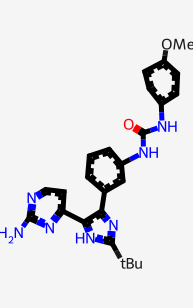 COc1ccc(NC(=O)Nc2cccc(-c3nc(C(C)(C)C)[nH]c3-c3ccnc(N)n3)c2)cc1